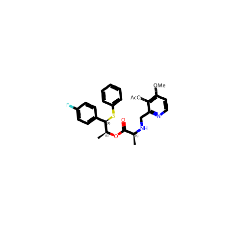 COc1ccnc(CN[C@@H](C)C(=O)O[C@@H](C)[C@H](Sc2ccccc2)c2ccc(F)cc2)c1OC(C)=O